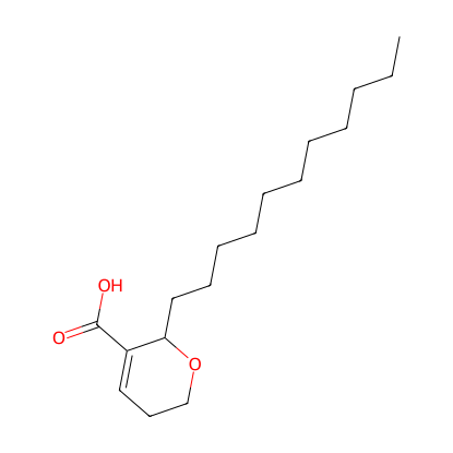 CCCCCCCCCCCC1OCCC=C1C(=O)O